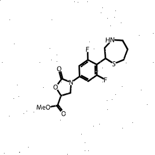 COC(=O)C1CN(c2cc(F)c(C3CNCCCS3)c(F)c2)C(=O)O1